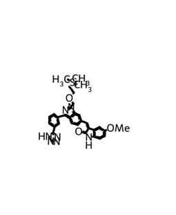 COc1ccc2c(c1)C(=Cc1ccc3c(-c4cccc(-c5nnn[nH]5)c4)nn(COCC[Si](C)(C)C)c3c1)C(=O)N2